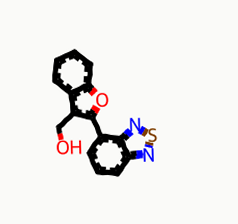 OCc1c(-c2cccc3nsnc23)oc2ccccc12